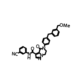 COCc1cccc(Cc2ccc(N3CCn4ncc(C(=O)Nc5cccc(C#N)c5)c4C3=O)cc2)c1